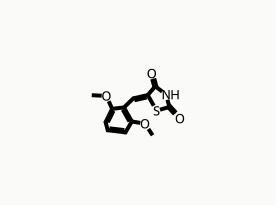 COc1cccc(OC)c1C=C1SC(=O)NC1=O